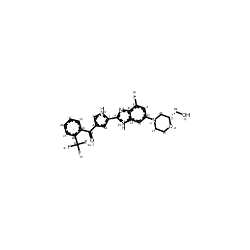 O=C(c1c[nH]c(-c2nc3c(F)cc(N4CCO[C@@H](CO)C4)cc3[nH]2)c1)c1ccccc1C(F)(F)F